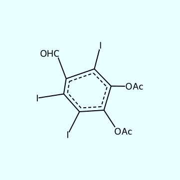 CC(=O)Oc1c(I)c(I)c(C=O)c(I)c1OC(C)=O